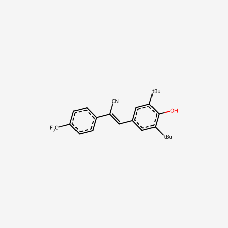 CC(C)(C)c1cc(/C=C(\C#N)c2ccc(C(F)(F)F)cc2)cc(C(C)(C)C)c1O